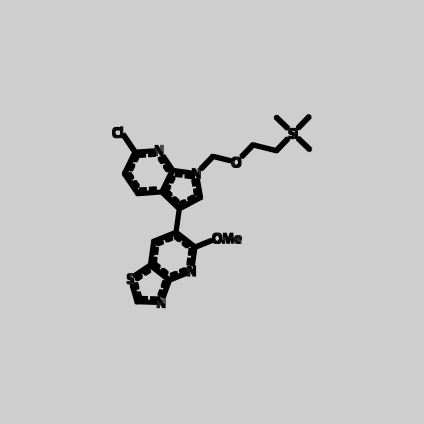 COc1nc2ncsc2cc1-c1cn(COCC[Si](C)(C)C)c2nc(Cl)ccc12